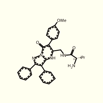 COc1ccc(-c2c(CNC(=O)[C@@H](N)C(C)C)[nH]c3c(-c4ccccc4)c(-c4ccccc4)nn3c2=O)cc1